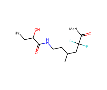 CNC(=O)C(F)(F)CC(C)CCNC(=O)C(O)CC(C)C